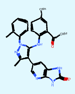 COC(=O)c1cc(OC)ccc1Nc1c(-c2cnc3[nH]c(=O)[nH]c3c2)c(C)nn1-c1ccccc1C